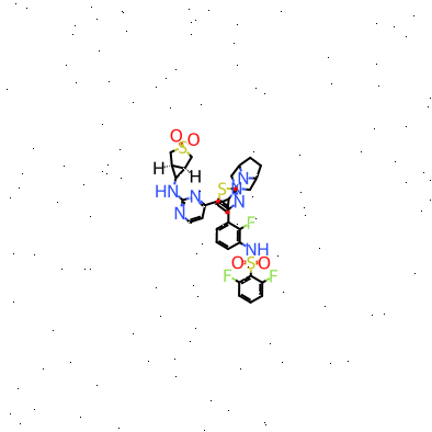 O=S1(=O)C[C@@H]2C(Nc3nccc(-c4sc(N5C6CCC5CN(C5CC5)C6)nc4-c4cccc(NS(=O)(=O)c5c(F)cccc5F)c4F)n3)[C@@H]2C1